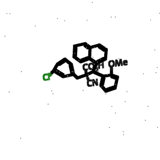 COc1ccccc1C(c1cccc2ccccc12)[C@](C#N)(Cc1cccc(Cl)c1)C(=O)O